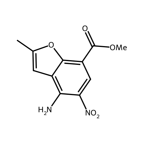 COC(=O)c1cc([N+](=O)[O-])c(N)c2cc(C)oc12